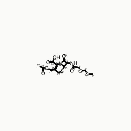 CSCSCC(=O)NC1C(=O)N2C(C(=O)O)=C(COC(C)=O)CSC12